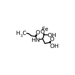 CCCC(=O)NC(CC(=O)O)C(=O)O.[Fe]